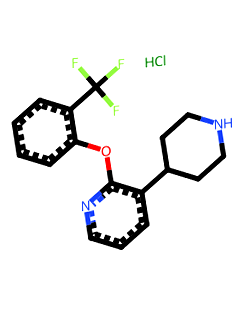 Cl.FC(F)(F)c1ccccc1Oc1ncccc1C1CCNCC1